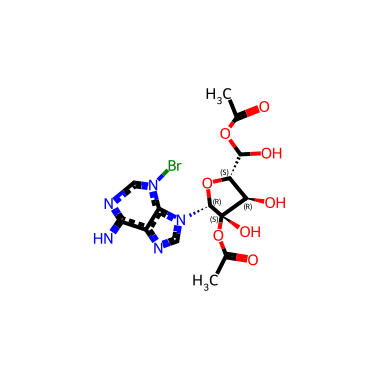 CC(=O)OC(O)[C@H]1O[C@@H](n2cnc3c(=N)ncn(Br)c32)[C@@](O)(OC(C)=O)[C@@H]1O